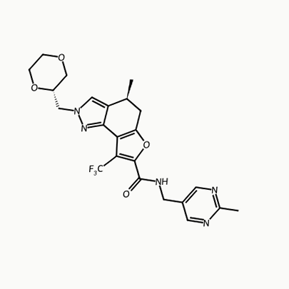 Cc1ncc(CNC(=O)c2oc3c(c2C(F)(F)F)-c2nn(C[C@H]4COCCO4)cc2[C@@H](C)C3)cn1